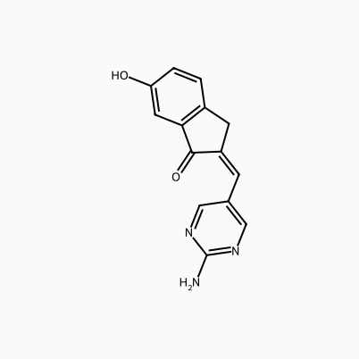 Nc1ncc(C=C2Cc3ccc(O)cc3C2=O)cn1